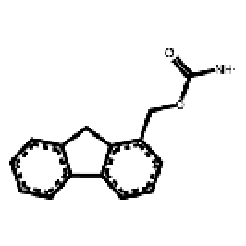 [NH]C(=O)OCc1cccc2c1Cc1ccccc1-2